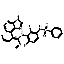 C=N/C(Nc1c(F)ccc(NS(=O)(=O)c2ccccc2)c1F)=C(\C=C/C)c1ncnc2[nH]cnc12